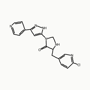 O=C1C(Cc2ccc(Cl)nc2)NCN1c1cc(-c2ccncc2)n[nH]1